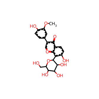 COc1cc(-c2coc3c(C4OC(CO)C(O)C(O)C4O)c(O)ccc3c2=O)ccc1O